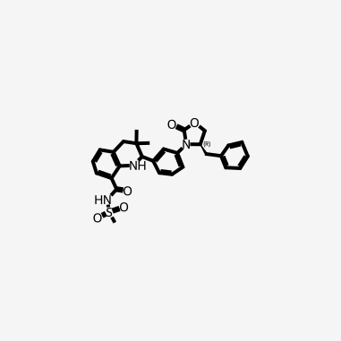 CC1(C)Cc2cccc(C(=O)NS(C)(=O)=O)c2NC1c1cccc(N2C(=O)OC[C@H]2Cc2ccccc2)c1